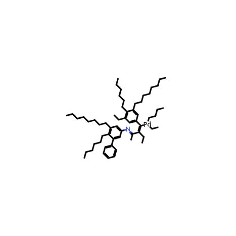 CCCCCCCCc1cc([C](=C(CC)C(C)=Nc2cc(CCCCCCCC)c(CCCCCC)c(-c3ccccc3)c2)[Pd]([CH2]C)[CH2]CCC)cc(CC)c1CCCCCC